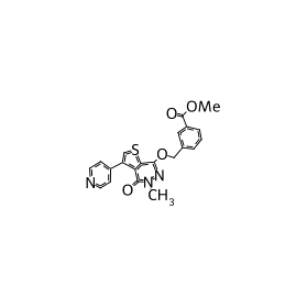 COC(=O)c1cccc(COc2nn(C)c(=O)c3c(-c4ccncc4)csc23)c1